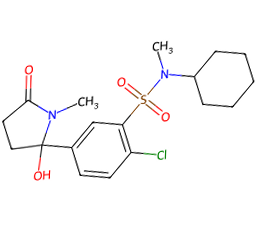 CN1C(=O)CCC1(O)c1ccc(Cl)c(S(=O)(=O)N(C)C2CCCCC2)c1